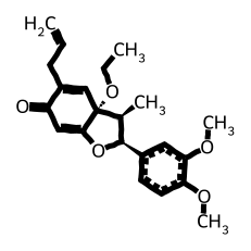 C=CCC1=C[C@]2(OCC)C(=CC1=O)O[C@H](c1ccc(OC)c(OC)c1)[C@@H]2C